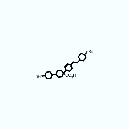 CCCCC1CCC(CCc2ccc(C3(C(=O)O)CCC(C4CCC(CCC)CC4)CC3)cc2)CC1